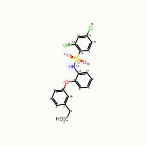 O=C(O)Cc1cccc(Oc2ccccc2NS(=O)(=O)c2ccc(Cl)cc2Cl)c1